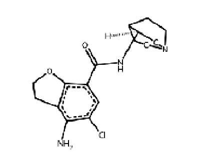 Nc1c(Cl)cc(C(=O)N[C@@H]2CN3CCC2CC3)c2c1CCO2